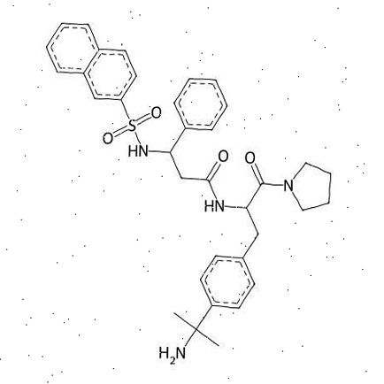 CC(C)(N)c1ccc(CC(NC(=O)CC(NS(=O)(=O)c2ccc3ccccc3c2)c2ccccc2)C(=O)N2CCCC2)cc1